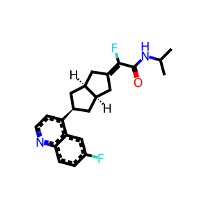 CC(C)NC(=O)/C(F)=C1/C[C@@H]2C[C@H](c3ccnc4ccc(F)cc34)C[C@@H]2C1